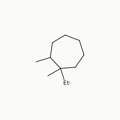 C[C]C1(C)CCCCCC1C